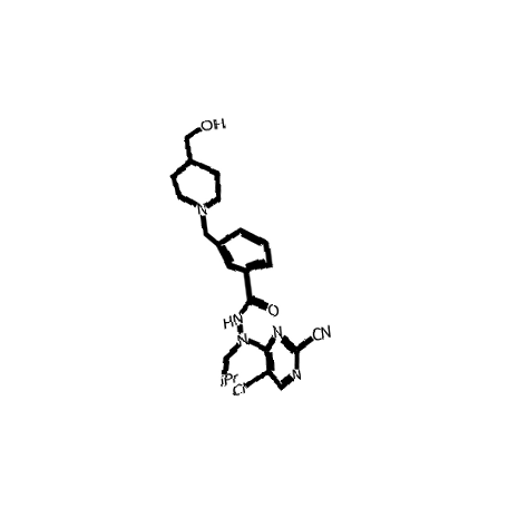 CC(C)CN(NC(=O)c1cccc(CN2CCC(CO)CC2)c1)c1nc(C#N)ncc1Cl